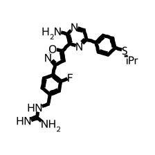 CC(C)Sc1ccc(-c2cnc(N)c(-c3cc(-c4ccc(CNC(=N)N)cc4F)no3)n2)cc1